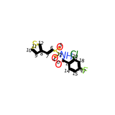 O=C(NS(=O)(=O)C=Cc1ccsc1)c1ccc(F)cc1Cl